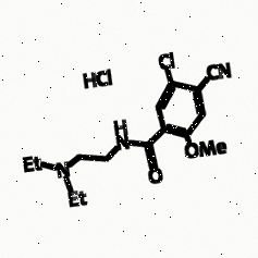 CCN(CC)CCNC(=O)c1cc(Cl)c(C#N)cc1OC.Cl